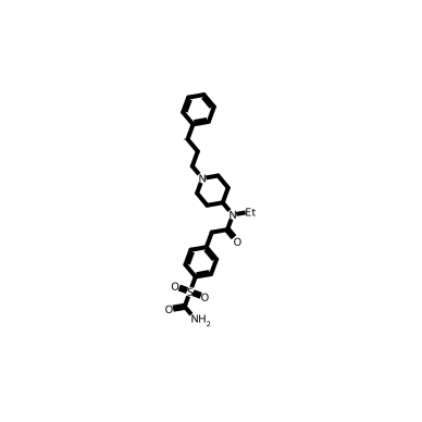 CCN(C(=O)Cc1ccc(S(=O)(=O)C(N)=O)cc1)C1CCN(CC[CH]c2ccccc2)CC1